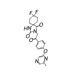 Cc1cncc(Oc2ccc(C(=O)CN3C(=O)NC4(CCC(F)(F)CC4)C3=O)cc2)n1